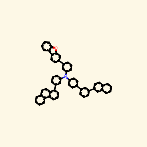 c1cc(-c2ccc(N(c3cccc(-c4ccc5c(c4)oc4ccccc45)c3)c3cccc(-c4cccc5c4ccc4ccccc45)c3)cc2)cc(-c2ccc3ccccc3c2)c1